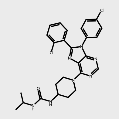 CC(C)NC(=O)NC1CCN(c2ncnc3c2nc(-c2ccccc2Cl)n3-c2ccc(Cl)cc2)CC1